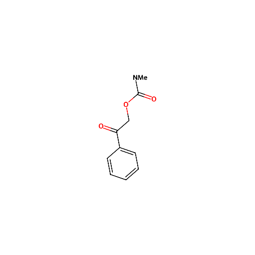 CNC(=O)OCC(=O)c1ccccc1